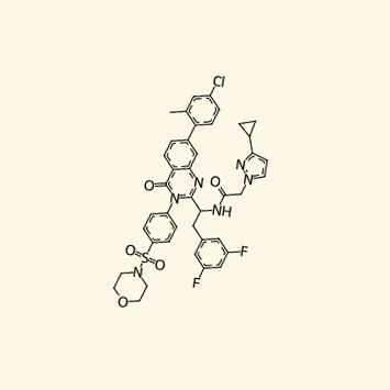 Cc1cc(Cl)ccc1-c1ccc2c(=O)n(-c3ccc(S(=O)(=O)N4CCOCC4)cc3)c(C(Cc3cc(F)cc(F)c3)NC(=O)Cn3ccc(C4CC4)n3)nc2c1